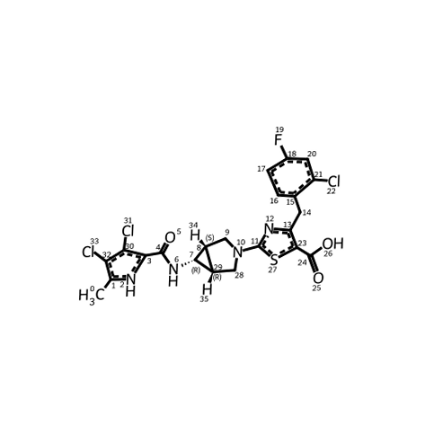 Cc1[nH]c(C(=O)N[C@@H]2[C@@H]3CN(c4nc(Cc5ccc(F)cc5Cl)c(C(=O)O)s4)C[C@@H]32)c(Cl)c1Cl